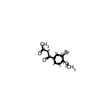 COc1ccc(C(=O)CC(C)=O)cc1Br